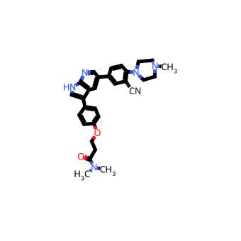 CN1CCN(c2ccc(-c3cnc4[nH]cc(-c5ccc(OCCC(=O)N(C)C)cc5)c4c3)cc2C#N)CC1